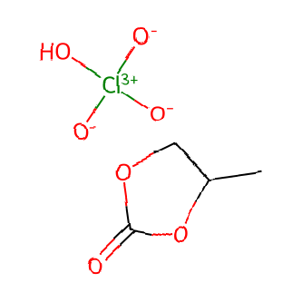 CC1COC(=O)O1.[O-][Cl+3]([O-])([O-])O